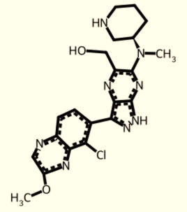 COc1cnc2ccc(-c3n[nH]c4nc(N(C)[C@@H]5CCCNC5)c(CO)nc34)c(Cl)c2n1